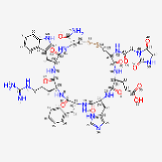 N=C(N)NCCC[C@@H]1NC(=O)[C@@H](Cc2ccccc2)NC(=O)[C@H](Cc2cnc[nH]2)NC(=O)[C@H](CCC(=O)O)NC(=O)[C@@H](NC(=O)CN2C(=O)CNC2=O)CSSC[C@@H](C(N)=O)NC(=O)[C@H](Cc2c[nH]c3ccccc23)NC1=O